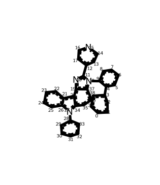 c1ccc(-c2ccccc2-n2c(-c3ccncc3)nc3c4c5ccccc5n(-c5ccccc5)c4ccc32)cc1